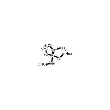 CCCCCCSP(NC=O)(OCCC)=[N+](C)C